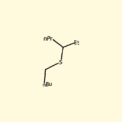 CCCCCSC(CC)CCC